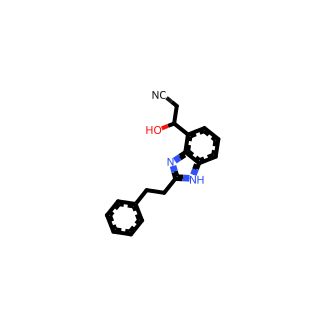 N#CCC(O)c1cccc2[nH]c(CCc3ccccc3)nc12